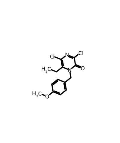 CCc1c(Cl)nc(Cl)c(=O)n1Cc1ccc(OC)cc1